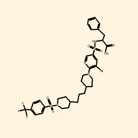 O=C(O)C(Cc1ccccc1)NS(=O)(=O)c1cnc(N2CCC(CCCC3CCN(S(=O)(=O)c4ccc(C(F)(F)F)cc4)CC3)CC2)c(Br)c1